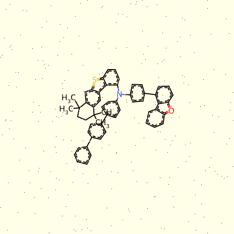 CC1(C)CCC(C)(C)c2cc3c(cc21)sc1cccc(N(c2ccc(-c4ccc(-c5ccccc5)cc4)cc2)c2ccc(-c4cccc5oc6ccccc6c45)cc2)c13